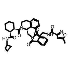 Cc1cc(C(=O)NCCOc2cccc3c2[C@@H](CN2C(=O)c4ccccc4C2=O)N(C(=O)[C@@H]2CCCC[C@@H]2C(=O)NC2CCC2)CC3)no1